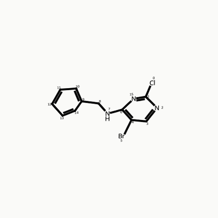 Clc1ncc(Br)c(NCc2ccccc2)n1